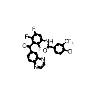 O=C(Nc1cc(F)c(F)c(C(=O)c2ccc3nccnc3c2)c1F)c1ccc(Cl)c(C(F)(F)F)c1